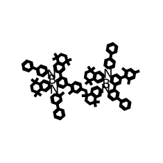 Cc1cc(C)c(-c2cc3c4c(c2)N(c2ccc(-c5ccccc5)cc2)c2cc5c(cc2B4N(c2ccc4c(c2)C(C)(C)CCC4(C)Cc2ccc(-c4cc6c7c(c4)N(c4ccc(-c8ccccc8)cc4C)c4cc8c(cc4B7N(c4ccc(-c7ccccc7)cc4)c4cc7c(cc4-6)C(C)(C)CCC7(C)C)C(C)(C)CCC8(C)C)c(C)c2)c2ccc(-c4ccccc4)cc2-3)C(C)(C)CCC5(C)C)c(C)c1